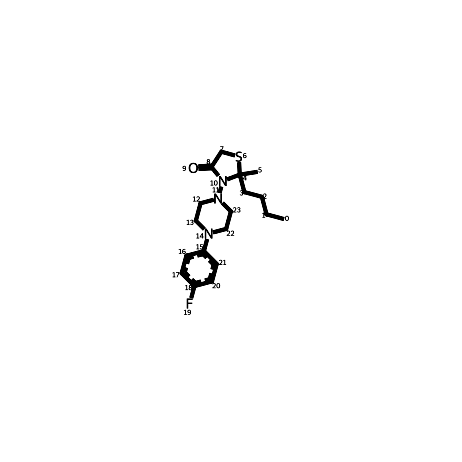 CCCCC1(C)SCC(=O)N1N1CCN(c2ccc(F)cc2)CC1